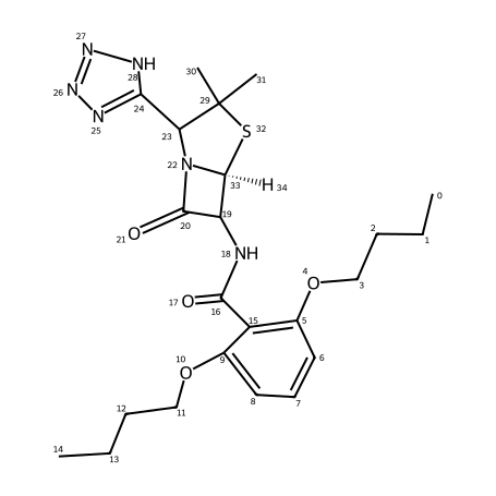 CCCCOc1cccc(OCCCC)c1C(=O)NC1C(=O)N2C(c3nnn[nH]3)C(C)(C)S[C@@H]12